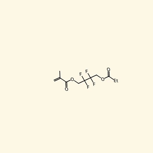 C=C(C)C(=O)OCC(F)(F)C(F)(F)COC(=O)CC